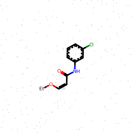 CCO/C=C\C(=O)Nc1cccc(Cl)c1